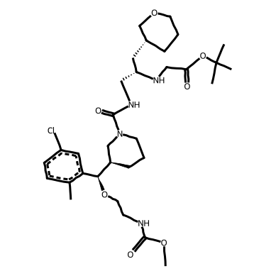 COC(=O)NCCO[C@@H](c1cc(Cl)ccc1C)[C@@H]1CCCN(C(=O)NC[C@H](C[C@H]2CCCOC2)NCC(=O)OC(C)(C)C)C1